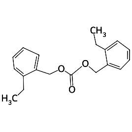 CCc1ccccc1COC(=O)OCc1ccccc1CC